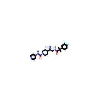 CC(C)(C(=O)NCC(N)C1CCN(C(=O)Nc2ccncc2)CC1)c1ccc(F)c(F)c1